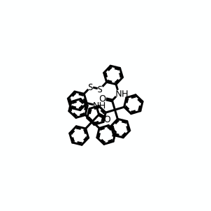 O=C(Nc1ccccc1SSc1ccccc1NC(=O)C(c1ccccc1)(c1ccccc1)c1ccccc1)C(c1ccccc1)(c1ccccc1)c1ccccc1